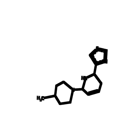 CC1CCN(C2C=CCC(c3cscn3)N2)CC1